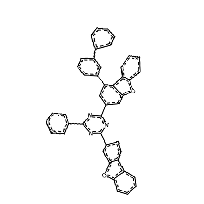 c1ccc(-c2cccc(-c3cc(-c4nc(-c5ccccc5)nc(-c5ccc6c(c5)oc5ccccc56)n4)cc4oc5ccccc5c34)c2)cc1